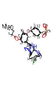 COCC(C)Oc1cc(Oc2ccc(S(C)(=O)=O)cc2)cc(-c2nc3cc(F)cnc3[nH]2)c1